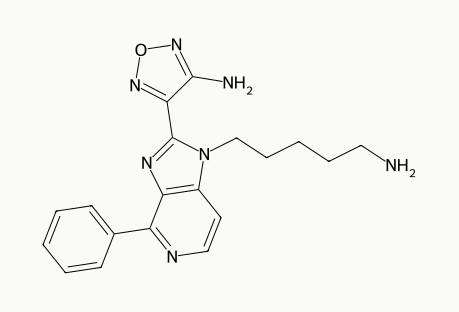 NCCCCCn1c(-c2nonc2N)nc2c(-c3ccccc3)nccc21